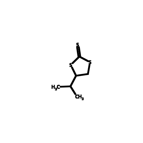 CC(C)C1CSC(=S)S1